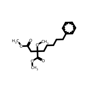 COC(=O)CC(CCCCCc1ccccc1)(OC)C(=O)OC